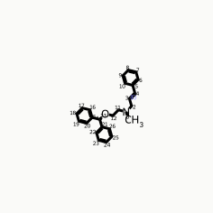 CN(C/C=C/c1ccccc1)CCOC(c1ccccc1)c1ccccc1